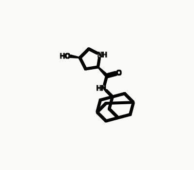 O=C(NC12CC3CC(CC(C3)C1)C2)[C@H]1C[C@@H](O)CN1